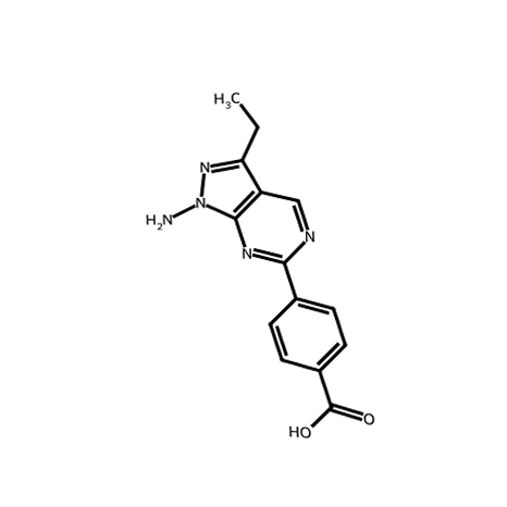 CCc1nn(N)c2nc(-c3ccc(C(=O)O)cc3)ncc12